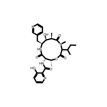 CCC(C)C1C(=O)O[C@H](C)[C@H](NC(=O)c2ncccc2O)C(=O)N[C@@H](Cc2cccnc2)[C@@H](O)[C@@H](C)C(=O)N1C